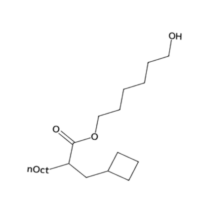 CCCCCCCCC(CC1CCC1)C(=O)OCCCCCCO